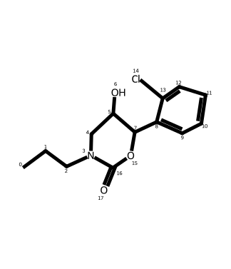 CCCN1CC(O)C(c2ccccc2Cl)OC1=O